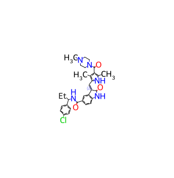 CCC(NC(=O)c1ccc2c(c1)/C(=C/c1[nH]c(C)c(C(=O)N3CCN(C)CC3)c1C)C(=O)N2)c1ccc(Cl)cc1